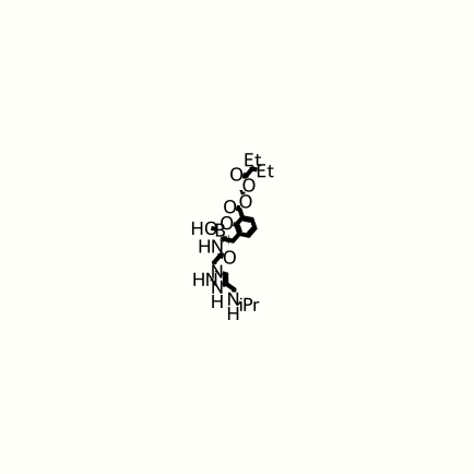 CCC(CC)C(=O)OCOC(=O)c1cccc2c1OB(O)[C@@H](NC(=O)CN1C=C(CNC(C)C)NN1)C2